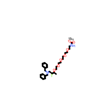 CC(OCCOCCOCCOCCOCCNC(=O)OC(C)(C)C)C(F)CN(Cc1ccccc1)Cc1ccccc1